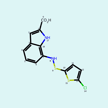 O=C(O)c1cc2cccc(NSc3ccc(Cl)s3)c2[nH]1